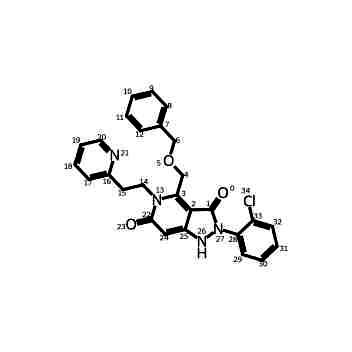 O=c1c2c(COCc3ccccc3)n(CCc3ccccn3)c(=O)cc2[nH]n1-c1ccccc1Cl